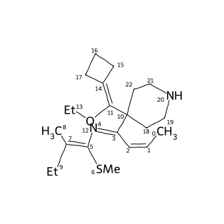 C\C=C/C(=N\C(SC)=C(/C)CC)C1(C(OCC)=C2CCC2)CCNCC1